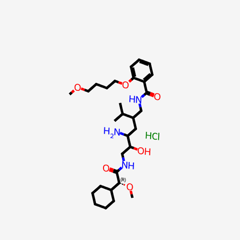 COCCCCOc1ccccc1C(=O)NCC(CC(N)C(O)CNC(=O)[C@H](OC)C1CCCCC1)C(C)C.Cl